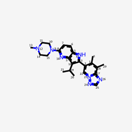 Cc1c(-c2[nH]c3ccc(N4CCN(C)CC4)nc3c2C(C)C)cn2ncnc2c1C